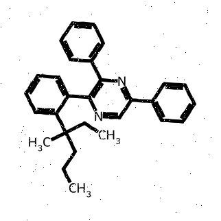 CCCC(C)(CC)c1ccccc1-c1ncc(-c2ccccc2)nc1-c1ccccc1